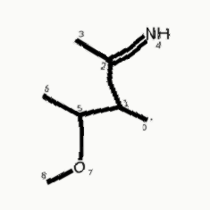 [CH2]C(C(C)=N)C(C)OC